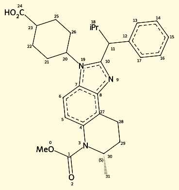 COC(=O)N1c2ccc3c(nc(C(c4ccccc4)C(C)C)n3C3CCC(C(=O)O)CC3)c2CC[C@@H]1C